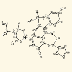 C=CC(=O)N1C(C)CN(c2nc(=O)n3c4c(c(-c5ccc(F)cc5)c(C(F)(F)F)cc24)SCC(c2cccs2)C3)C[C@@H]1C